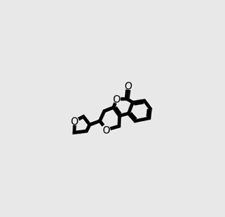 O=c1oc2c(c3ccccc13)COC(C1CCOC1)C2